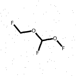 FCOC(F)OF